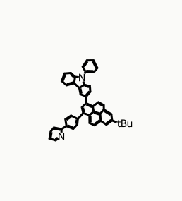 CC(C)(C)c1cc2ccc3c(-c4ccc(-c5ccccn5)cc4)cc(-c4ccc5c(c4)c4ccccc4n5-c4ccccc4)c4ccc(c1)c2c34